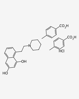 Cc1ccc(C(=O)O)cc1.Cc1ccc(C(=O)O)cc1.Cl.Oc1cc(O)c2c(CCN3CCCCC3)cccc2c1